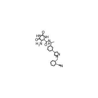 CC(NC(=O)c1[nH]c(=O)[nH]c(=O)c1N)c1cccc(-c2cnn(Cc3ccccc3C#N)c2)c1